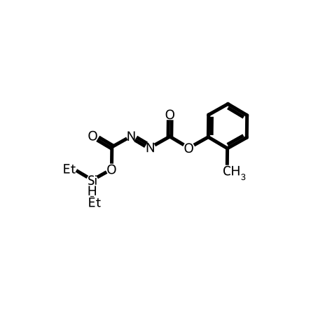 CC[SiH](CC)OC(=O)N=NC(=O)Oc1ccccc1C